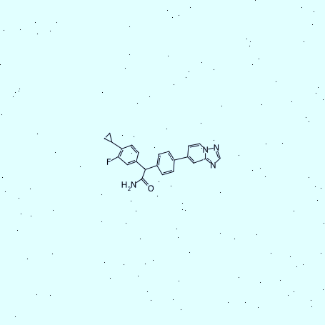 NC(=O)C(c1ccc(-c2ccn3ncnc3c2)cc1)c1ccc(C2CC2)c(F)c1